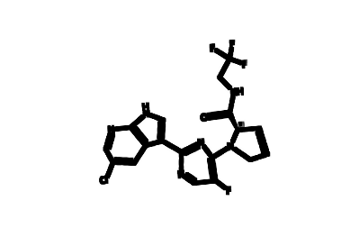 O=C(NCC(F)(F)F)[C@H]1C=CCN1c1nc(-c2c[nH]c3ncc(Cl)cc23)ncc1F